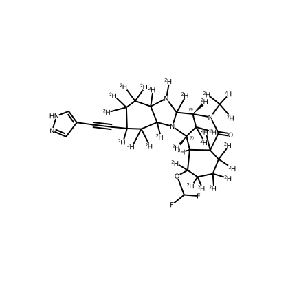 [2H]N1C2([2H])C([2H])([2H])C([2H])([2H])C([2H])(C#Cc3cn[nH]c3)C([2H])([2H])C2([2H])N2C1([2H])[C@]1([2H])N(C([2H])([2H])[2H])C(=O)C3([2H])C([2H])([2H])C([2H])([2H])C([2H])([2H])C([2H])(OC(F)F)C3([2H])[C@@]2([2H])C1([2H])[2H]